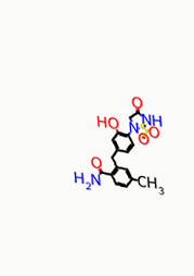 Cc1ccc(C(N)=O)c(Cc2ccc(N3CC(=O)NS3(=O)=O)c(O)c2)c1